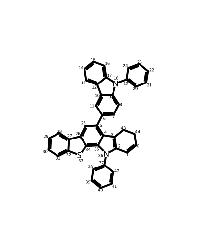 C1=Cc2c(c3c(-c4ccc5c(c4)c4ccccc4n5-c4ccccc4)cc4c5ccccc5sc4c3n2-c2ccccc2)CC1